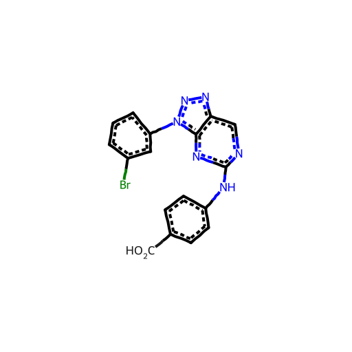 O=C(O)c1ccc(Nc2ncc3nnn(-c4cccc(Br)c4)c3n2)cc1